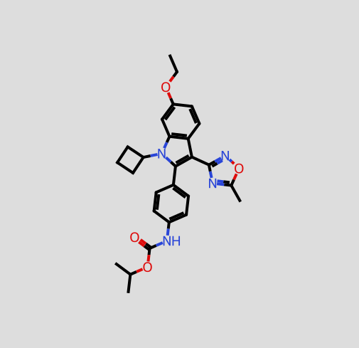 CCOc1ccc2c(-c3noc(C)n3)c(-c3ccc(NC(=O)OC(C)C)cc3)n(C3CCC3)c2c1